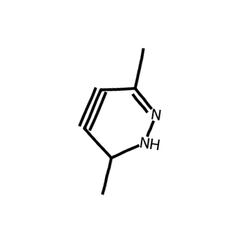 CC1=NNC(C)C#C1